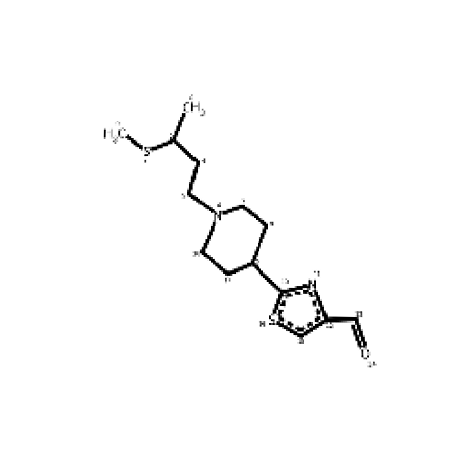 CSC(C)CCN1CCC(c2nc(C=O)cs2)CC1